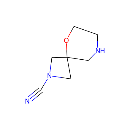 N#CN1CC2(CNCCO2)C1